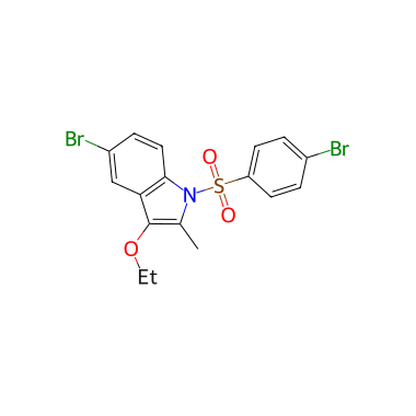 [CH2]COc1c(C)n(S(=O)(=O)c2ccc(Br)cc2)c2ccc(Br)cc12